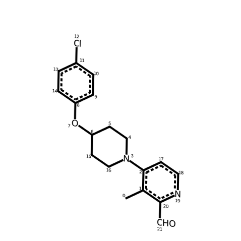 Cc1c(N2CCC(Oc3ccc(Cl)cc3)CC2)ccnc1C=O